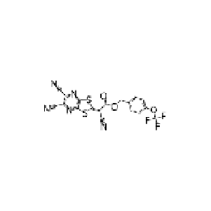 N#CC(C(=O)OCc1ccc(OC(F)(F)F)cc1)=C1Sc2nc(C#N)c(C#N)nc2S1